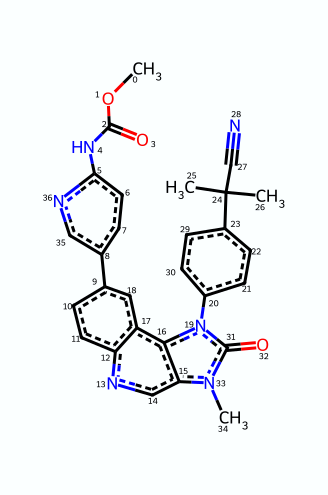 COC(=O)Nc1ccc(-c2ccc3ncc4c(c3c2)n(-c2ccc(C(C)(C)C#N)cc2)c(=O)n4C)cn1